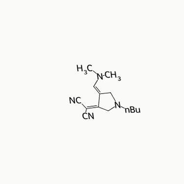 CCCCN1CC(=CN(C)C)C(=C(C#N)C#N)C1